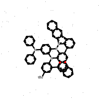 CC(C)(C)c1ccc(N2c3cc(N(c4ccccc4)c4ccccc4)ccc3B3c4c(cc5c(oc6ccccc65)c42)-c2cccc4c5cc6ccccc6cc5n3c24)c(-c2ccccc2)c1